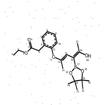 CCOC(=O)Cc1ccccc1OC(C)=C/C(B1OC(C)(C)C(C)(C)O1)=C(\C)O